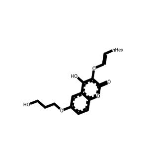 CCCCCC/C=C/Oc1c(O)c2cc(OCCCO)ccc2oc1=O